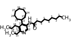 CCCCCCCCC(=O)Nc1cnc(CC)c(CCC)c1C1CCCCCCC1